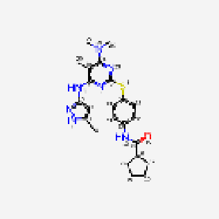 Cc1cc(Nc2nc(Sc3ccc(NC(=O)C4CCCC4)cc3)nc(N(C)C)c2C)n[nH]1